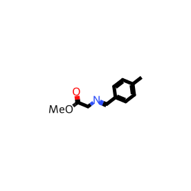 COC(=O)CN=Cc1ccc(C)cc1